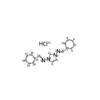 C1=CN(N=Cc2ccccc2)CN1N=Cc1ccccc1.Cl